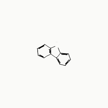 [c]1cccc2c1-c1ccccc1[SiH2]2